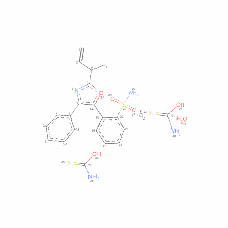 C.C=CC(C)c1nc(-c2ccccc2)c(-c2ccccc2S(N)(=O)=O)o1.NC(O)=S.NC(O)=S.O